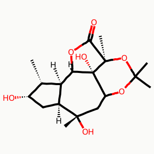 C[C@@H]1[C@@H]2[C@H](C[C@@H]1O)[C@@](C)(O)CC1OC(C)(C)O[C@]3(C)C(=O)O[C@@H]2[C@]13O